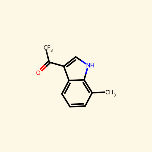 Cc1cccc2c(C(=O)C(F)(F)F)c[nH]c12